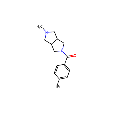 CC(C)c1ccc(C(=O)N2CC3CN(C)CC3C2)cc1